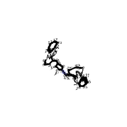 C1=C(C=C2CCC[n+]3c2sc2ccccc23)CC/C1=C/C1=C2Sc3ccccc3N2CCC1